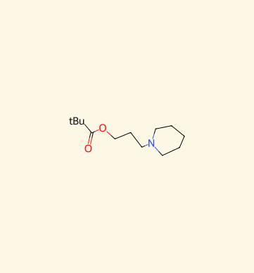 CC(C)(C)C(=O)OCCCN1CCCCC1